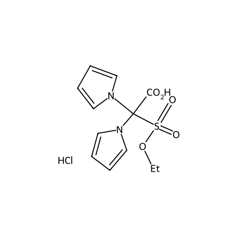 CCOS(=O)(=O)C(C(=O)O)(n1cccc1)n1cccc1.Cl